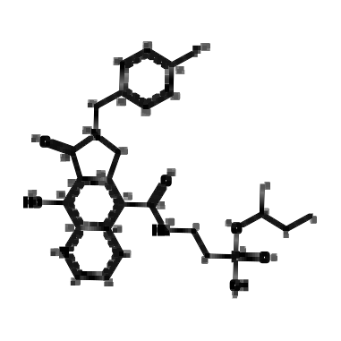 CCC(C)OP(=O)(O)CCNC(=O)c1c2c(c(O)c3ncccc13)C(=O)N(Cc1ccc(F)cc1)C2